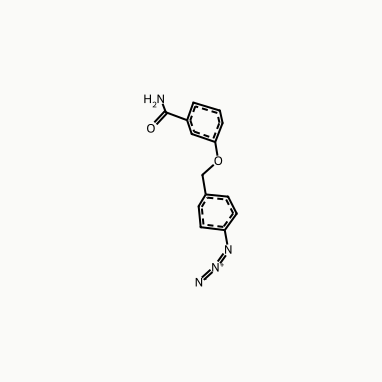 [N-]=[N+]=Nc1ccc(COc2cccc(C(N)=O)c2)cc1